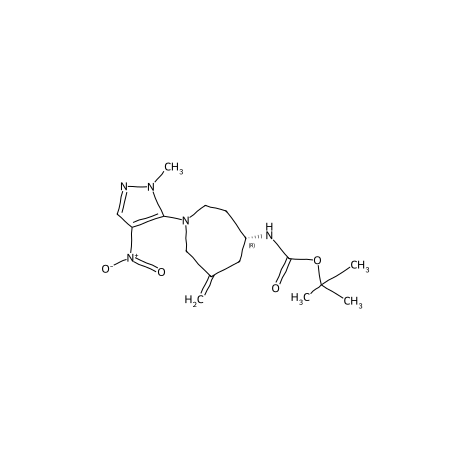 C=C1C[C@@H](NC(=O)OC(C)(C)C)CCN(c2c([N+](=O)[O-])cnn2C)C1